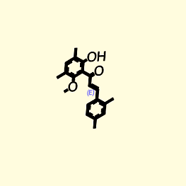 COc1c(C)cc(C)c(O)c1C(=O)/C=C/c1ccc(C)cc1C